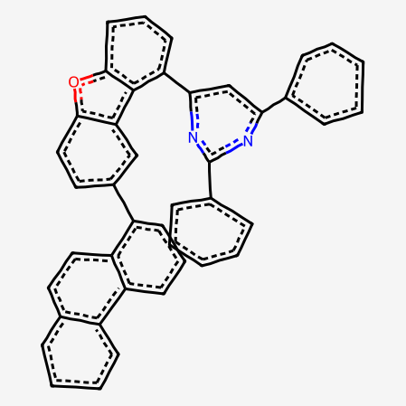 c1ccc(-c2cc(-c3cccc4oc5ccc(-c6cccc7c6ccc6ccccc67)cc5c34)nc(-c3ccccc3)n2)cc1